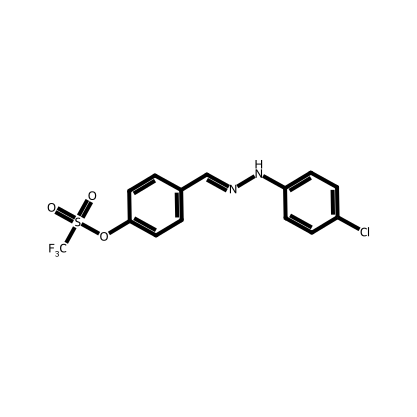 O=S(=O)(Oc1ccc(C=NNc2ccc(Cl)cc2)cc1)C(F)(F)F